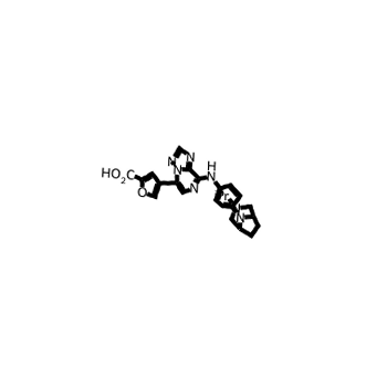 CC(C)N1CC2CCC(C1)N2c1ccc(Nc2ncc(-c3coc(C(=O)O)c3)n3ncnc23)cc1